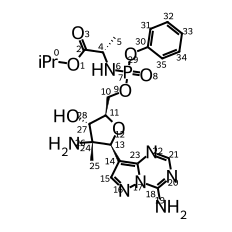 CC(C)OC(=O)[C@H](C)NP(=O)(OC[C@H]1O[C@@H](c2cnn3c(N)ncnc23)[C@](C)(N)[C@@H]1O)Oc1ccccc1